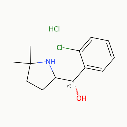 CC1(C)CCC([C@@H](O)c2ccccc2Cl)N1.Cl